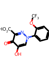 O=C(O)c1nn(-c2ccccc2OC(F)(F)F)cc(O)c1=O